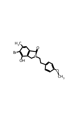 COc1ccc(CCN2Cc3c(cc(C)c(Br)c3O)C2=O)cc1